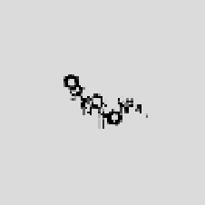 CN(C)c1cccc(Nc2nccn3c(-c4cc5ccccc5s4)cnc23)c1